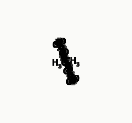 CC(C)(c1ccc(OC(=O)c2ccc(N3C(=O)C=CC3=O)cc2)cc1)c1ccc(OC(=O)c2ccc(N3C(=O)C=CC3=O)cc2)cc1